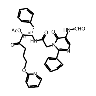 CC(=O)O[C@@H](C(=O)CCCOc1ccccn1)[C@H](Cc1ccccc1)NC(=O)Cn1c(-c2ccccc2)ncc(NC=O)c1=O